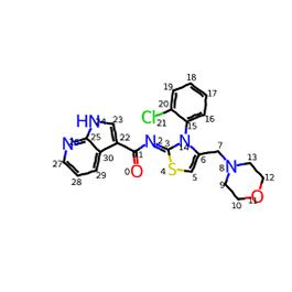 O=C(/N=c1\scc(CN2CCOCC2)n1-c1ccccc1Cl)c1c[nH]c2ncccc12